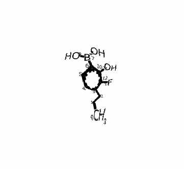 CCCc1ccc(B(O)O)c(O)c1F